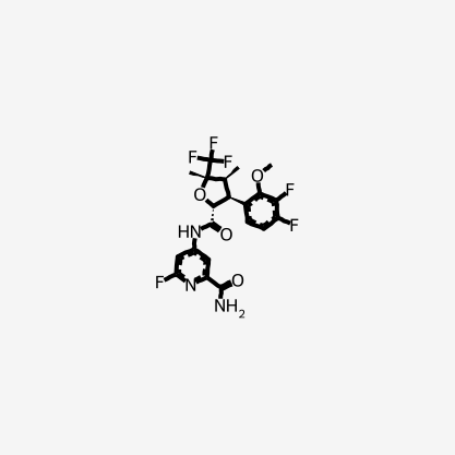 COc1c([C@H]2[C@H](C(=O)Nc3cc(F)nc(C(N)=O)c3)O[C@](C)(C(F)(F)F)[C@H]2C)ccc(F)c1F